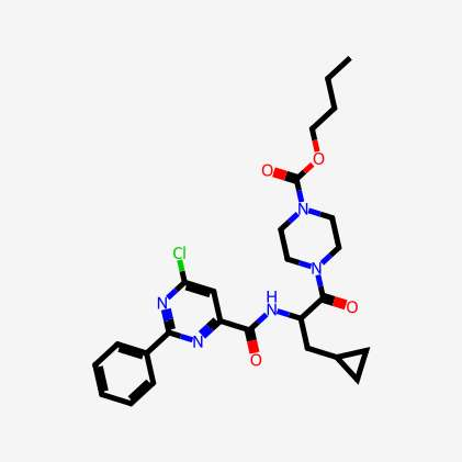 CCCCOC(=O)N1CCN(C(=O)C(CC2CC2)NC(=O)c2cc(Cl)nc(-c3ccccc3)n2)CC1